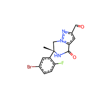 C[C@@]1(c2cc(Br)ccc2F)Cn2nc(C=O)cc2C(=O)N1